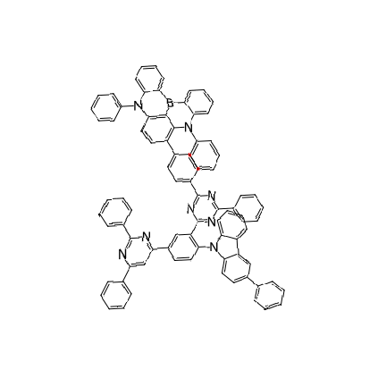 c1ccc(-c2ccc3c(c2)c2ccccc2n3-c2ccc(-c3cc(-c4ccccc4)nc(-c4ccccc4)n3)cc2-c2nc(-c3ccccc3)nc(-c3ccc(-c4ccc5c6c4N(c4ccccc4)c4ccccc4B6c4ccccc4N5c4ccccc4)cc3)n2)cc1